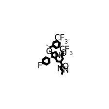 Cc1noc(C2CC(=O)N3C[C@H](O[C@H](C)c4cc(C(F)(F)F)cc(C(F)(F)F)c4)[C@@H](c4ccc(F)cc4)C3C2)n1